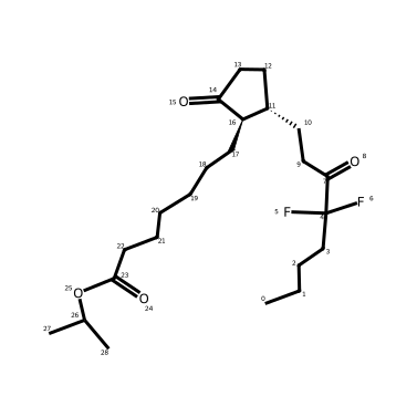 CCCCC(F)(F)C(=O)CC[C@H]1CCC(=O)[C@@H]1CCCCCCC(=O)OC(C)C